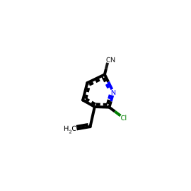 C=Cc1ccc(C#N)nc1Cl